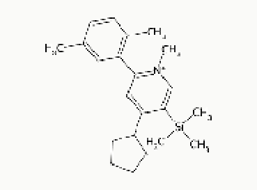 Cc1ccc(C)c(-c2cc(C3CCCC3)c([Si](C)(C)C)c[n+]2C)c1